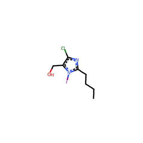 CCCCc1nc(Cl)c(CO)n1I